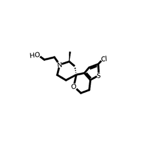 C[C@H]1C[C@@]2(CCN1CCO)OCCc1sc(Cl)cc12